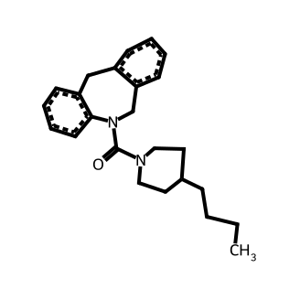 CCCCC1CCN(C(=O)N2Cc3ccccc3Cc3ccccc32)CC1